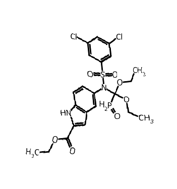 CCOC(=O)c1cc2cc(N(C(OCC)(OCC)[PH2]=O)S(=O)(=O)c3cc(Cl)cc(Cl)c3)ccc2[nH]1